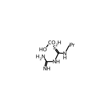 CC(C)NC(=S)NC(=N)N.O=C(O)O